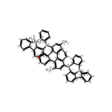 Cc1cc(N(c2ccccc2)c2cccc3c2[Si](C)(C)c2ccccc2-3)c2c3ccccc3c3c(C)cc(N4c5ccccc5[Si]5(C)c6ccccc6-c6cccc4c65)c4ccc1c2c43